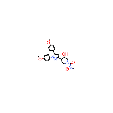 COc1ccc(-c2cc(C3CCN(C(=O)N(C)O)CC3O)nn2-c2ccc(OC)cc2)cc1